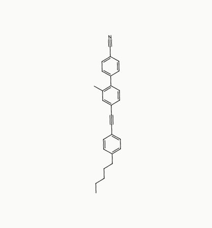 CCCCCc1ccc(C#Cc2ccc(-c3ccc(C#N)cc3)c(C)c2)cc1